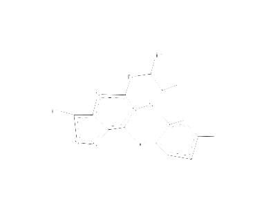 CCCc1c2nnc(C(C)C)c-2nc(NC(CO)C(C)C)n1Nc1cccc(Cl)c1